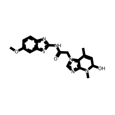 COc1ccc2nc(NC(=O)Cn3cnc4c3C(C)=CC(O)N4C)sc2c1